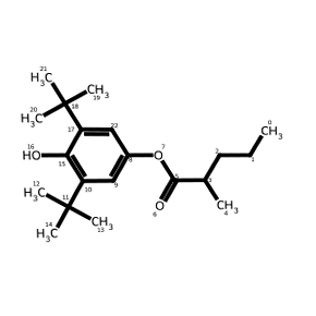 CCCC(C)C(=O)Oc1cc(C(C)(C)C)c(O)c(C(C)(C)C)c1